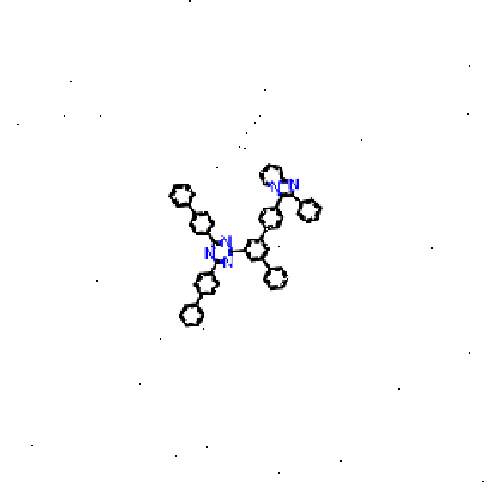 c1ccc(-c2ccc(-c3nc(-c4ccc(-c5ccccc5)cc4)nc(-c4cc(-c5ccccc5)cc(-c5ccc(-c6c(-c7ccccc7)nc7ccccn67)cc5)c4)n3)cc2)cc1